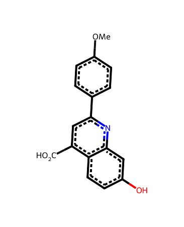 COc1ccc(-c2cc(C(=O)O)c3ccc(O)cc3n2)cc1